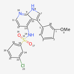 COc1cccc(-c2c[nH]c3nccc(NS(=O)(=O)c4cccc(Cl)c4)c23)c1